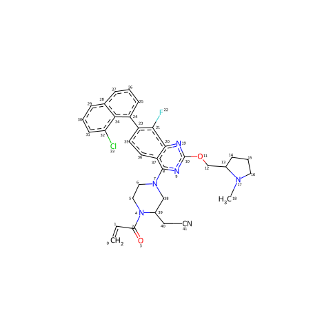 C=CC(=O)N1CCN(c2nc(OCC3CCCN3C)nc3c(F)c(-c4cccc5cccc(Cl)c45)ccc23)CC1CC#N